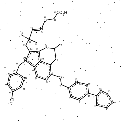 CC1Cc2c(OCc3ccc(-c4ccccc4)cn3)ccc3c2c(c(CC(C)(C)C=NOCC(=O)O)n3Cc2ccc(Cl)cc2)S1